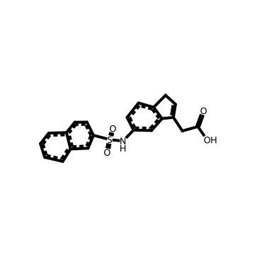 O=C(O)CC1=CCc2ccc(NS(=O)(=O)c3ccc4ccccc4c3)cc21